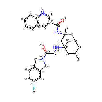 CC1CC2CC(C)(NC(=O)c3cnc4ccccc4c3)CC(NCC(=O)N3Cc4ccc(F)cc4C3)(C1)C2